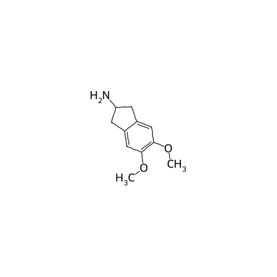 COc1cc2c(cc1OC)CC(N)C2